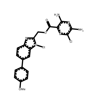 CCn1c(COC(=O)c2nc(Cl)c(N)nc2N)nc2ccc(-c3ccc(OC)cc3)cc21